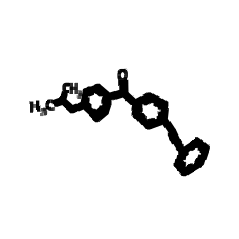 CC(C)Cc1ccc(C(=O)c2ccc(C=Cc3ccccc3)cc2)cc1